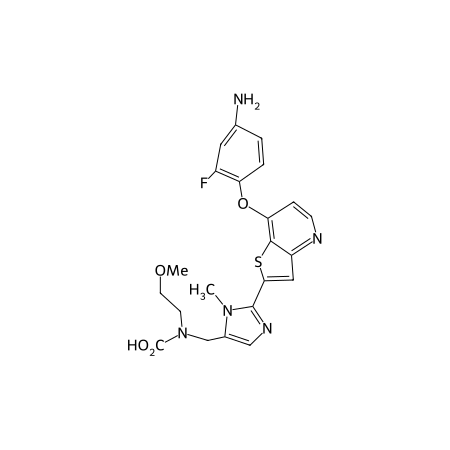 COCCN(Cc1cnc(-c2cc3nccc(Oc4ccc(N)cc4F)c3s2)n1C)C(=O)O